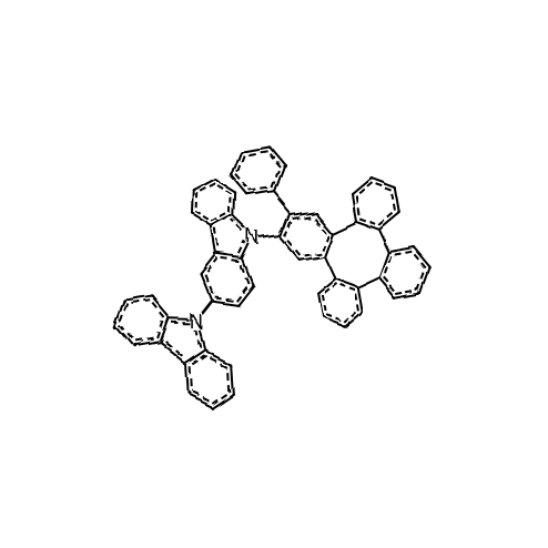 c1ccc(-c2cc3c(cc2-n2c4ccccc4c4cc(-n5c6ccccc6c6ccccc65)ccc42)-c2ccccc2-c2ccccc2-c2ccccc2-3)cc1